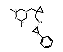 C[C@@H]1CN(CC2(CN[C@H]3C[C@@H]3c3ccccc3)CC2)C[C@H](C)O1